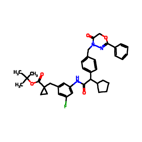 CC(C)(C)OC(=O)C1(Cc2cc(F)cc(NC(=O)C(c3ccc(CN4N=C(c5ccccc5)OCC4=O)cc3)C3CCCC3)c2)CC1